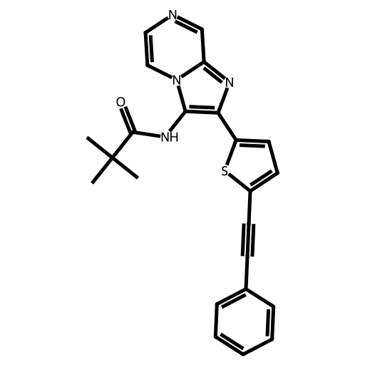 CC(C)(C)C(=O)Nc1c(-c2ccc(C#Cc3ccccc3)s2)nc2cnccn12